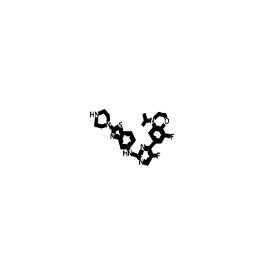 CC(C)N1CCOc2c(F)cc(-c3nc(Nc4ccc5sc(N6CCNCC6)nc5c4)ncc3F)cc21